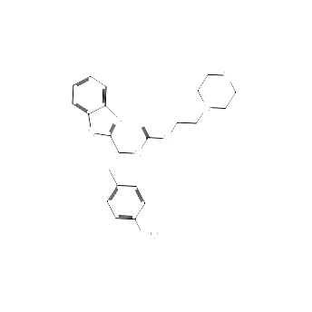 COc1ccc(C[C@@H](NC(=O)NCCN2CCNCC2)c2nc3ccccc3[nH]2)cc1